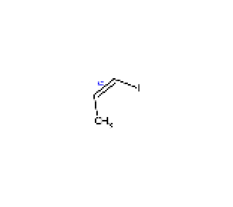 C/C=C\I